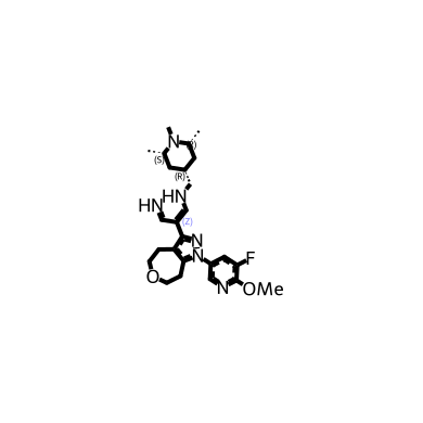 COc1ncc(-n2nc(/C(C=N)=C/NC[C@H]3C[C@@H](C)N(C)[C@@H](C)C3)c3c2CCOCC3)cc1F